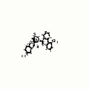 Cc1cccnc1-c1ncccc1C(=O)N1C[C@@H]2CC[C@H]1[C@H](Oc1ccc(C(F)(F)F)cn1)C2